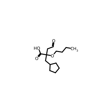 CCCCOC(CC=O)(CC1CCCC1)C(=O)O